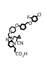 N#CCC1(Cn2c(CN3CCC(Oc4cccc(COc5ccc(Cl)cc5F)c4)CC3)nc3ccc(/C=C/C(=O)O)nc32)CC1